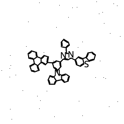 c1ccc(-c2nc(-c3cc(-c4ccc5c6ccccc6c6ccccc6c5c4)cc(-n4c5ccccc5c5ccccc54)c3)cc(-c3ccc4sc5ccccc5c4c3)n2)cc1